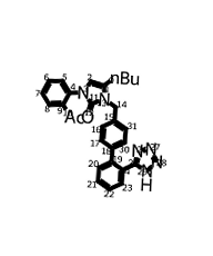 CCCCc1cn(-c2ccccc2C(C)=O)c(=O)n1Cc1ccc(-c2ccccc2-c2nnn[nH]2)cc1